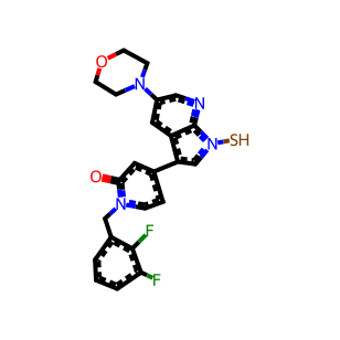 O=c1cc(-c2cn(S)c3ncc(N4CCOCC4)cc23)ccn1Cc1cccc(F)c1F